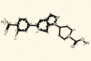 CC(C)OC(=O)N1CCC(n2ncc3cc(-c4ccc(C(N)=O)c(F)c4)ncc32)CC1